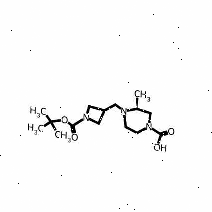 C[C@H]1CN(C(=O)O)CCN1CC1CN(C(=O)OC(C)(C)C)C1